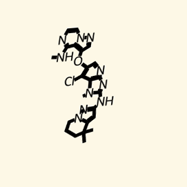 CNc1nccn2ncc(Oc3cnc4nc(Nc5cc6n(n5)CCCC6(C)C)n(C)c4c3Cl)c12